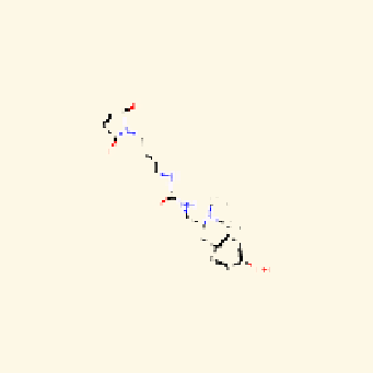 CN(C)[C@H](CNC(=O)NCCCCN1C(=O)C=CC1=O)Cc1ccc(O)cc1